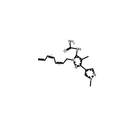 C=C/C=C\C=C/Cn1nc(-c2cnn(C)c2)c(C)c1NC(N)=O